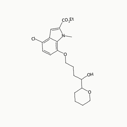 CCOC(=O)c1cc2c(Cl)ccc(OCCCC(O)C3CCCCO3)c2n1C